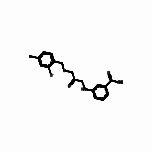 O=C(CNc1cccc(C(=O)O)c1)COCc1ccc(F)cc1Br